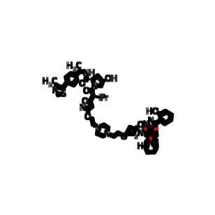 Cc1ncsc1-c1ccc([C@H](C)NC(=O)[C@@H]2C[C@@H](O)CN2C(=O)[C@H](c2cc(OCCN3CCN(CCOC4CC(Oc5cc(N6C7CC[C@@H]6CN(c6cc(-c8ccccc8O)nnc6N)C7)ccn5)C4)CC3)no2)C(C)C)cc1